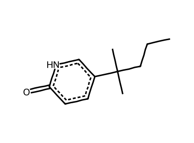 CCCC(C)(C)c1ccc(=O)[nH]c1